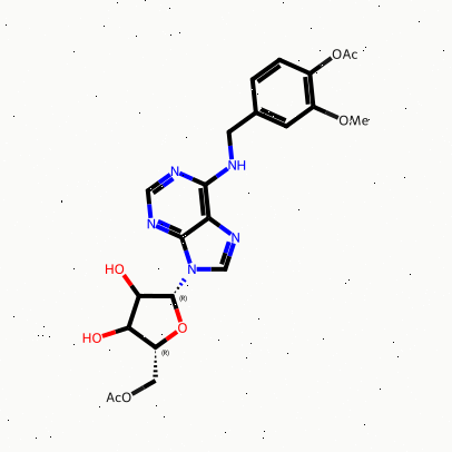 COc1cc(CNc2ncnc3c2ncn3[C@@H]2O[C@H](COC(C)=O)C(O)C2O)ccc1OC(C)=O